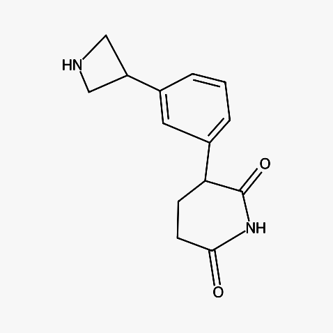 O=C1CCC(c2cccc(C3CNC3)c2)C(=O)N1